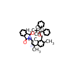 C/C(=C/CN1C(=O)c2ccccc2C1=O)c1ccc(C)c(CO[Si](c2ccccc2)(c2ccccc2)C(C)(C)C)c1C